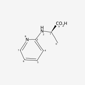 C[C@@H](Nc1ccccn1)C(=O)O